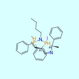 C=C[C@@H]1C=N[C@@](C)(c2ccccc2)[PH]1(I)N(CCCC)[PH](C)(c1ccccc1)c1ccccc1